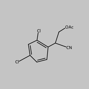 CC(=O)OCC(C#N)c1ccc(Cl)cc1Cl